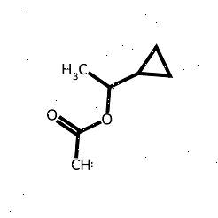 [CH]C(=O)OC(C)C1CC1